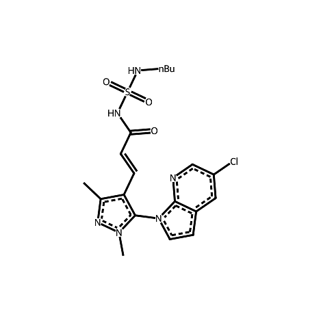 CCCCNS(=O)(=O)NC(=O)C=Cc1c(C)nn(C)c1-n1ccc2cc(Cl)cnc21